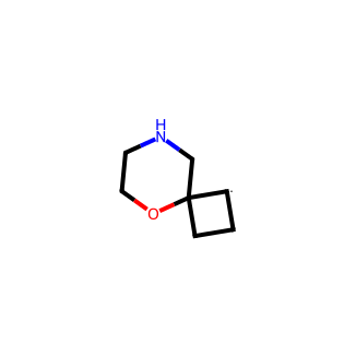 [CH]1CCC12CNCCO2